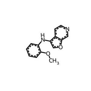 COc1ccccc1Nc1coc2cnccc12